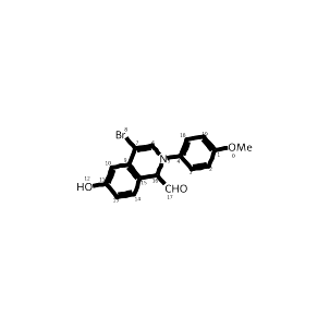 COc1ccc(N2C=C(Br)c3cc(O)ccc3C2C=O)cc1